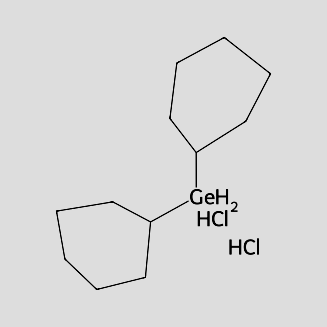 C1CC[CH]([GeH2][CH]2CCCCC2)CC1.Cl.Cl